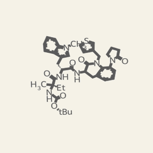 CC[C@](C)(NC(=O)OC(C)(C)C)C(=O)N[C@H](Cc1cn(C)c2ccccc12)C(=O)NC1Cc2cccc(N3CCCC3=O)c2N(Cc2ccsc2)C1=O